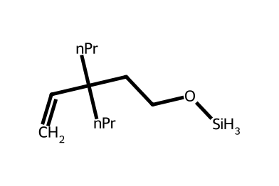 C=CC(CCC)(CCC)CCO[SiH3]